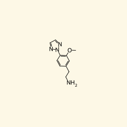 COc1cc(CCN)ccc1-n1nccn1